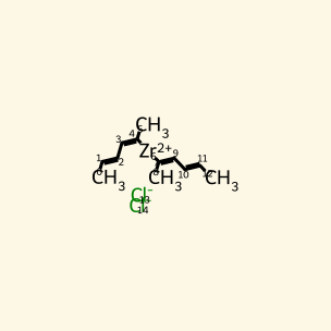 CC=CC=[C](C)[Zr+2][C](C)=CC=CC.[Cl-].[Cl-]